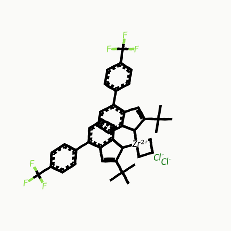 CC(C)(C)C1=Cc2c(-c3ccc(C(F)(F)F)cc3)cccc2[CH]1[Zr+2]1([CH]2C(C(C)(C)C)=Cc3c(-c4ccc(C(F)(F)F)cc4)cccc32)[CH2]C[CH2]1.[Cl-].[Cl-]